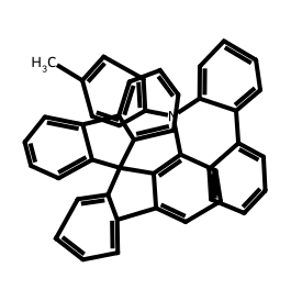 Cc1ccc(N(c2ccccc2-c2ccccc2)c2cccc3c2C2(c4ccccc4-c4ccccc42)c2ccccc2-3)cc1